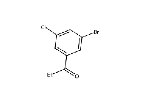 CCC(=O)c1cc(Cl)cc(Br)c1